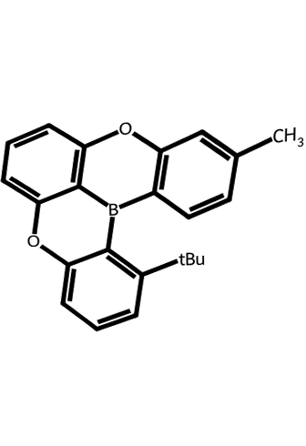 Cc1ccc2c(c1)Oc1cccc3c1B2c1c(cccc1C(C)(C)C)O3